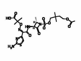 CC(=O)OCCC(C)(C)COS(=O)(=O)N1C(=O)[C@@H](NC(=O)C(=NOC(C)(C)C(=O)O)c2csc(N)n2)[C@@H]1C